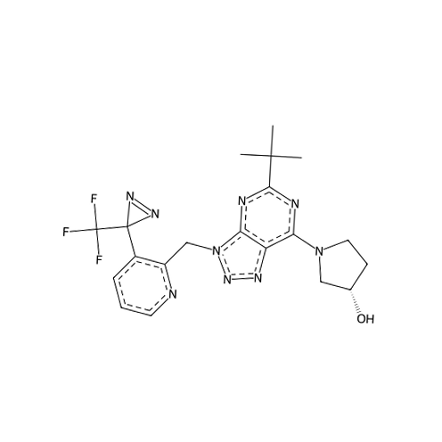 CC(C)(C)c1nc(N2CC[C@H](O)C2)c2nnn(Cc3ncccc3C3(C(F)(F)F)N=N3)c2n1